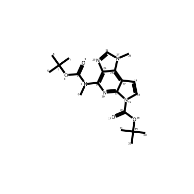 CN(C(=O)OC(C)(C)C)c1nc2c(ccn2C(=O)OC(C)(C)C)c2c1ncn2C